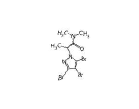 CC(C(=O)N(C)C)n1nc(Br)c(Br)c1Br